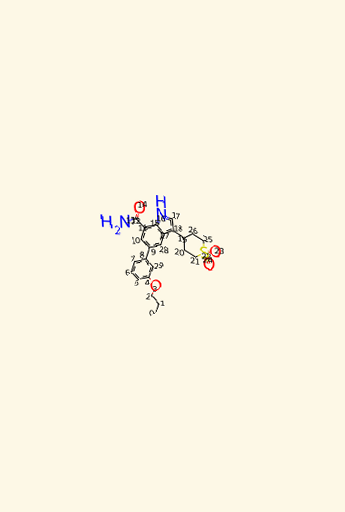 CCCOc1cccc(-c2cc(C(N)=O)c3[nH]cc(C4CCS(=O)(=O)CC4)c3c2)c1